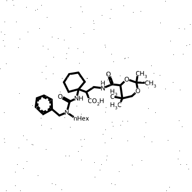 CCCCCCN(Cc1ccccc1)C(=O)NC1(C(CNC(=O)C2OC(C)(C)OCC2(C)C)C(=O)O)CCCCC1